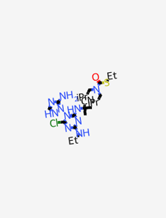 CCNc1nc(Cl)nc(NC(C)(C)C#N)n1.CCSC(=O)N(CC(C)C)CC(C)C.Nc1nc[nH]n1